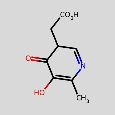 CC1=C(O)C(=O)C(CC(=O)O)C=N1